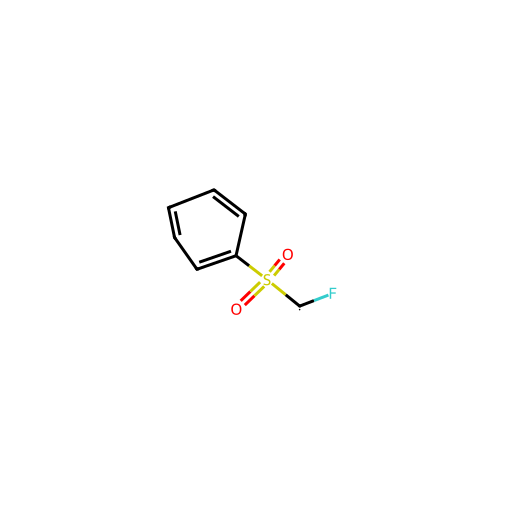 O=S(=O)([CH]F)c1ccccc1